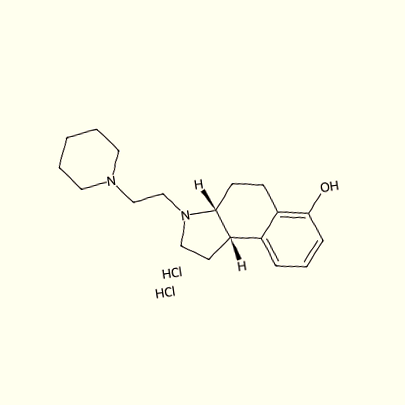 Cl.Cl.Oc1cccc2c1CC[C@@H]1[C@H]2CCN1CCN1CCCCC1